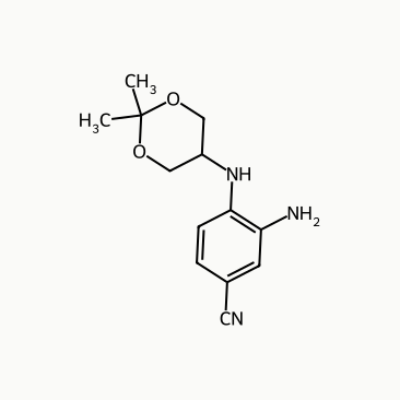 CC1(C)OCC(Nc2ccc(C#N)cc2N)CO1